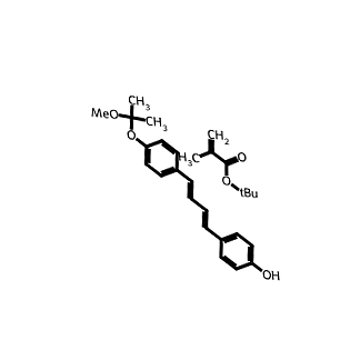 C=C(C)C(=O)OC(C)(C)C.COC(C)(C)Oc1ccc(C=CC=Cc2ccc(O)cc2)cc1